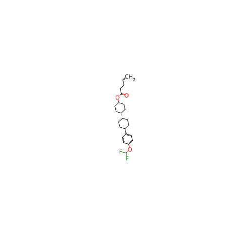 C=CCCC(=O)OC1CCC([C@H]2CC[C@H](c3ccc(OC(F)F)cc3)CC2)CC1